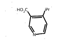 CC(C)c1ccncc1C(=O)O